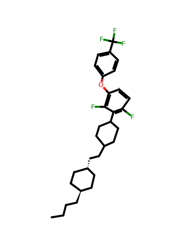 CCCC[C@H]1CC[C@H](CCC2CCC(c3c(F)c[c]c(Oc4ccc(C(F)(F)F)cc4)c3F)CC2)CC1